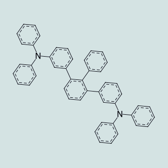 c1ccc(-c2c(-c3cccc(N(c4ccccc4)c4ccccc4)c3)cccc2-c2cccc(N(c3ccccc3)c3ccccc3)c2)cc1